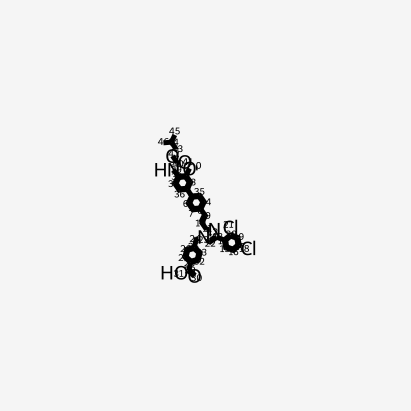 COc1cc(-c2ccc(C=Cc3nc(-c4ccc(Cl)cc4Cl)cn3Cc3ccc(C(=O)O)cc3)cc2)ccc1NC(=O)OCC(C)C